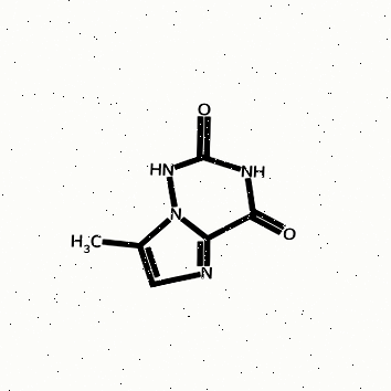 Cc1cnc2c(=O)[nH]c(=O)[nH]n12